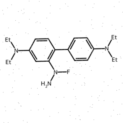 CCN(CC)c1ccc(-c2ccc(N(CC)CC)cc2N(N)F)cc1